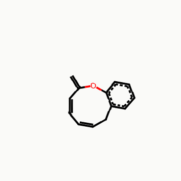 C=C1/C=C\C=C/Cc2ccccc2O1